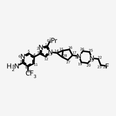 CC(C)c1nc(-c2cnc(N)c(C(F)(F)F)c2)cn1C1C2CC(N3CCN(CCF)CC3)CC21